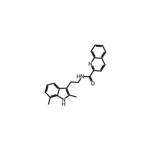 Cc1[nH]c2c(C)cccc2c1CCNC(=O)c1ccc2ccccc2n1